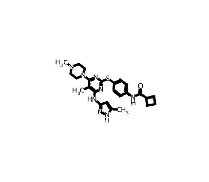 Cc1cc(Nc2nc(Sc3ccc(NC(=O)C4CCC4)cc3)nc(N3CCN(C)CC3)c2C)n[nH]1